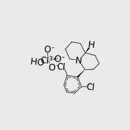 Clc1cccc(Cl)c1[C@@H]1CCC[C@H]2CCCCN21.[O-][Cl+3]([O-])([O-])O